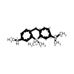 CNc1ccc2c(c1)[Si](C)(C)c1cc(N(C)C)ccc1C2